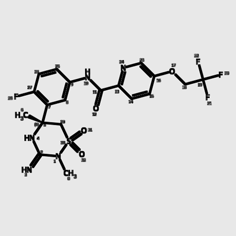 CN1C(=N)N[C@](C)(c2cc(NC(=O)c3ccc(OCC(F)(F)F)cn3)ccc2F)CS1(=O)=O